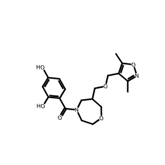 Cc1noc(C)c1COCC1COCCN(C(=O)c2ccc(O)cc2O)C1